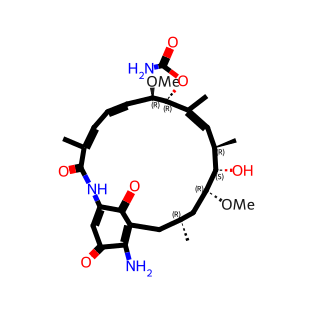 CO[C@@H]1C=CC=C(C)C(=O)NC2=CC(=O)C(N)=C(C[C@@H](C)C[C@@H](OC)[C@@H](O)[C@H](C)C=C(C)[C@H]1OC(N)=O)C2=O